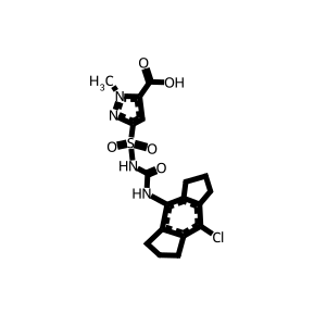 Cn1nc(S(=O)(=O)NC(=O)Nc2c3c(c(Cl)c4c2CCC4)CCC3)cc1C(=O)O